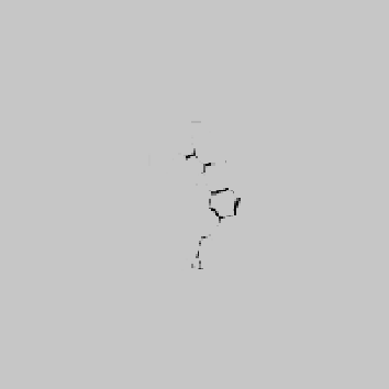 C=C(C)C(=O)Oc1cccc(OCC2CO2)c1